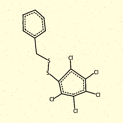 Clc1c(Cl)c(Cl)c(SSCc2ccccc2)c(Cl)c1Cl